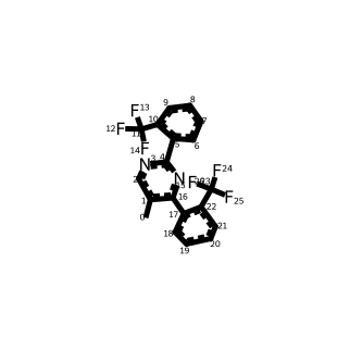 Cc1cnc(-c2ccccc2C(F)(F)F)nc1-c1ccccc1C(F)(F)F